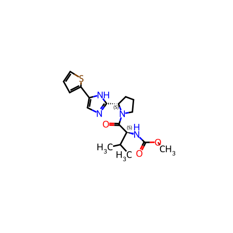 COC(=O)N[C@H](C(=O)N1CCC[C@H]1c1ncc(-c2cccs2)[nH]1)C(C)C